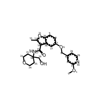 COc1cc(COc2ccc3oc(C)c(C(=O)NC4(CO)CCOCC4)c3c2)ccn1